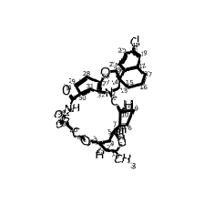 C[C@H]1C[C@@H]2C[C@@H](O1)[C@@H]1CC[C@H]1CN1C[C@@]3(CCCc4cc(Cl)ccc43)COc3ccc(cc31)C(=O)NS(=O)(=O)CCO2